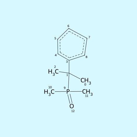 CC(C)(c1ccccc1)P(C)(C)=O